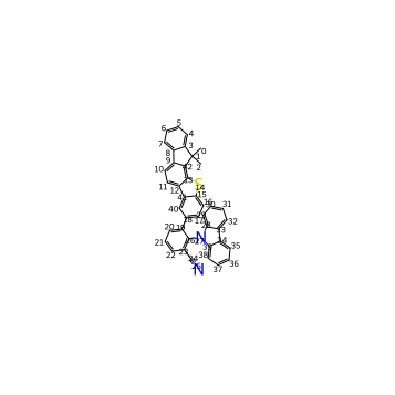 CC1(C)c2ccccc2-c2ccc3c(sc4ccc(-c5cccc(C#N)c5-n5c6ccccc6c6ccccc65)cc43)c21